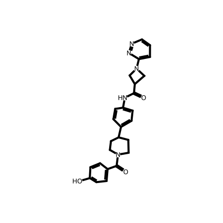 O=C(Nc1ccc(C2CCN(C(=O)c3ccc(O)cc3)CC2)cc1)C1CN(c2cccnn2)C1